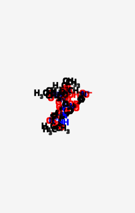 CN(C(=O)OC(C)(C)C)[C@@H]1[C@@H](O)[C@@H](O[C@H]2[C@H](NC(=O)[C@@H](O)CNC(=O)OC(C)(C)C)C[C@H](NC(=O)OCc3ccc([N+](=O)[O-])cc3)C([C@H]3OC(CNCC(O)CNC(=O)OC(C)(C)C)=CC[C@H]3NC(=O)OCc3ccc([N+](=O)[O-])cc3)[C@@H]2O)OC[C@]1(C)O